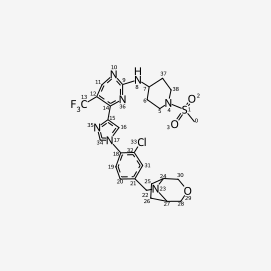 CS(=O)(=O)N1CCC(Nc2ncc(C(F)(F)F)c(-c3cn(-c4ccc(CN5C6CCC5COC6)cc4Cl)cn3)n2)CC1